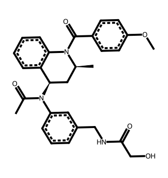 COc1ccc(C(=O)N2c3ccccc3[C@H](N(C(C)=O)c3cccc(CNC(=O)CO)c3)C[C@@H]2C)cc1